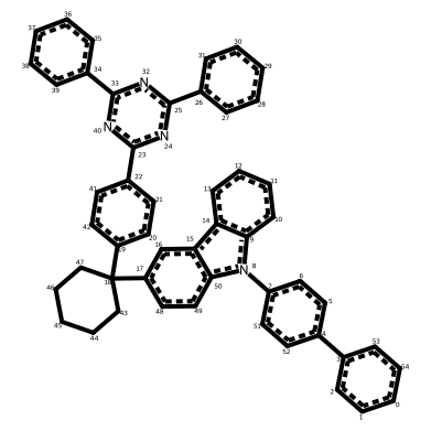 c1ccc(-c2ccc(-n3c4ccccc4c4cc(C5(c6ccc(-c7nc(-c8ccccc8)nc(-c8ccccc8)n7)cc6)CCCCC5)ccc43)cc2)cc1